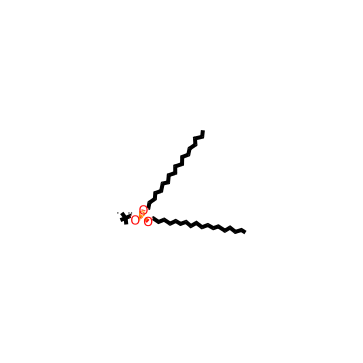 [CH2]C(C)(C)[C]OP(OCCCCCCCCCCCCCCCCCC)OCCCCCCCCCCCCCCCCCC